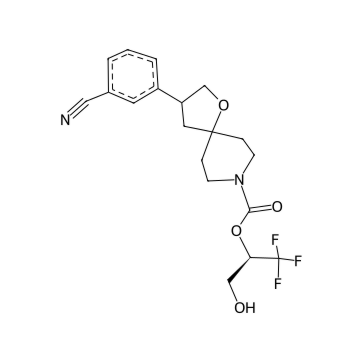 N#Cc1cccc(C2COC3(CCN(C(=O)O[C@H](CO)C(F)(F)F)CC3)C2)c1